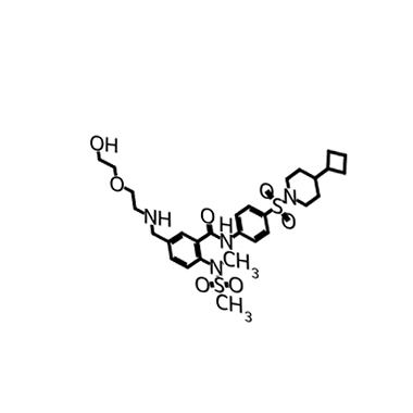 CN(c1ccc(CNCCOCCO)cc1C(=O)Nc1ccc(S(=O)(=O)N2CCC(C3CCC3)CC2)cc1)S(C)(=O)=O